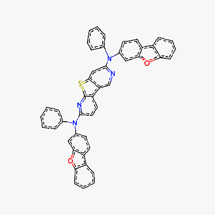 c1ccc(N(c2ccc3c(c2)oc2ccccc23)c2cc3sc4nc(N(c5ccccc5)c5ccc6c(c5)oc5ccccc56)ccc4c3cn2)cc1